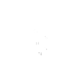 CC(=O)[O-].CC[N+]#N